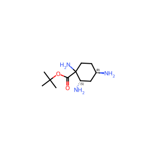 CC(C)(C)OC(=O)C1(N)CC[C@@H](N)C[C@@H]1N